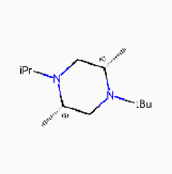 CC(C)N1C[C@H](C)N(C(C)(C)C)C[C@@H]1C